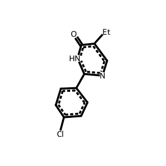 CCc1cnc(-c2ccc(Cl)cc2)[nH]c1=O